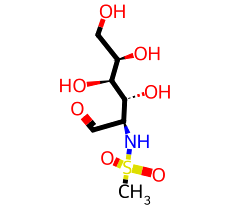 CS(=O)(=O)N[C@@H](C=O)[C@@H](O)[C@@H](O)[C@H](O)CO